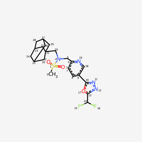 CS(=O)(=O)N(Cc1ccc(-c2nnc(C(F)F)o2)cn1)CC12CC3CC(CC(C3)C1)C2